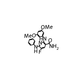 COc1cc(Nc2nc(Nc3ccccc3)c(F)cc2C(N)=O)cc(OC)c1